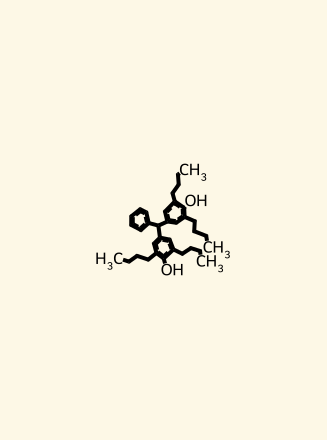 CCCCc1cc(C(c2ccccc2)c2cc(CCCC)c(O)c(CCCC)c2)cc(CCCC)c1O